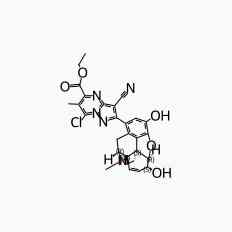 CCOC(=O)c1nc2c(C#N)c(-c3cc(O)c4c5c3C[C@@H]3[C@@H]6C=C[C@H](O)[C@H](O4)[C@]56CCN3C)nn2c(Cl)c1C